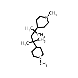 CN1CCC(C(C)(C)CC(C)(C)C2CCN(C)CC2)CC1